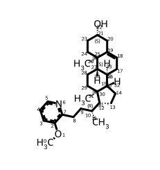 COc1cccnc1CC[C@@H](C)[C@H]1CC[C@H]2[C@@H]3CC=C4C[C@@H](O)CC[C@]4(C)[C@H]3CC[C@]12C